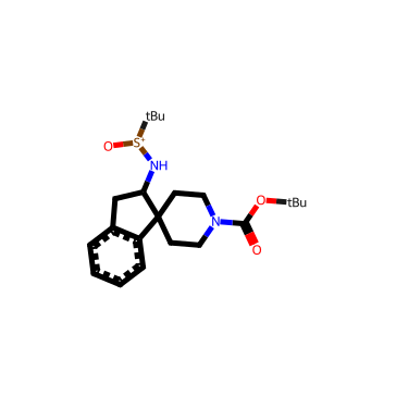 CC(C)(C)OC(=O)N1CCC2(CC1)c1ccccc1CC2N[S+]([O-])C(C)(C)C